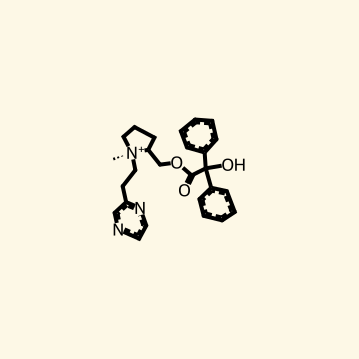 C[N@+]1(CCc2cnccn2)CCCC1COC(=O)C(O)(c1ccccc1)c1ccccc1